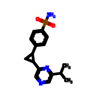 CC(C)c1cncc(C2CC2c2ccc(S(N)(=O)=O)cc2)n1